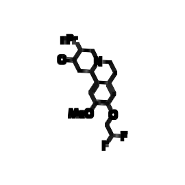 CCCC1CN2CCc3cc(OCC(F)F)c(OC)cc3C2CC1=O